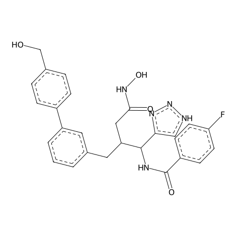 O=C(CC(Cc1cccc(-c2ccc(CO)cc2)c1)C(NC(=O)c1ccc(F)cc1)c1c[nH]nn1)NO